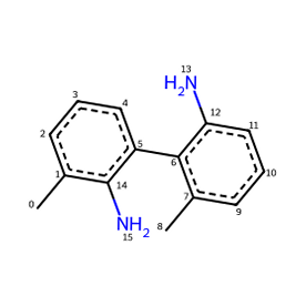 Cc1cccc(-c2c(C)cccc2N)c1N